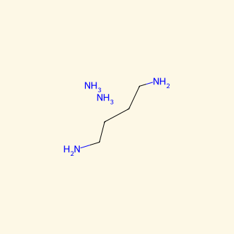 N.N.NCCCCN